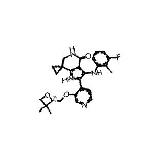 Cc1c(F)cccc1Nc1c(-c2ccncc2OC[C@@H]2OCC2(C)C)[nH]c2c1C(=O)NCC21CC1